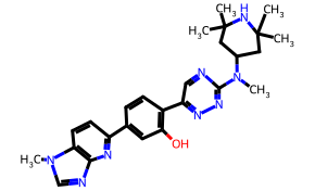 CN(c1ncc(-c2ccc(-c3ccc4c(ncn4C)n3)cc2O)nn1)C1CC(C)(C)NC(C)(C)C1